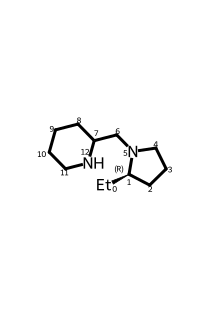 CC[C@@H]1CCCN1CC1CCCCN1